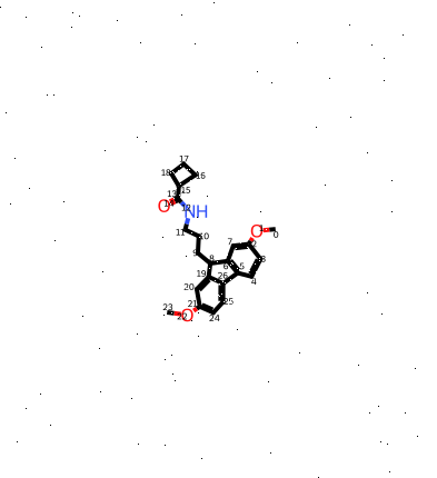 COc1ccc2c(c1)C(CCCNC(=O)C1CCC1)c1cc(OC)ccc1-2